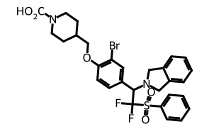 O=C(O)N1CCC(COc2ccc(C(N3Cc4ccccc4C3)C(F)(F)S(=O)(=O)c3ccccc3)cc2Br)CC1